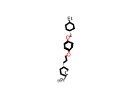 CCC[C@H]1CC[C@H](CCCOc2ccc(OC[C@H]3CC[C@H](CC)CC3)cc2)CC1